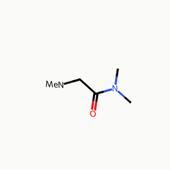 [CH2]NCC(=O)N(C)C